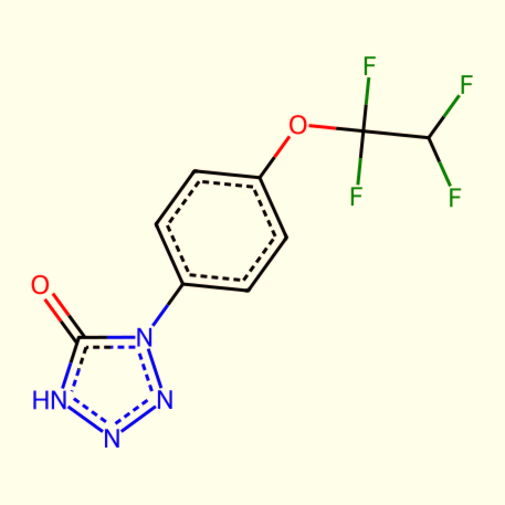 O=c1[nH]nnn1-c1ccc(OC(F)(F)C(F)F)cc1